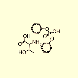 CC(O)C(N)C(=O)O.O=P(O)(Oc1ccccc1)Oc1ccccc1